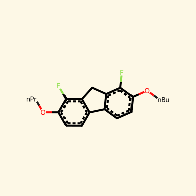 CCCCOc1ccc2c(c1F)Cc1c-2ccc(OCCC)c1F